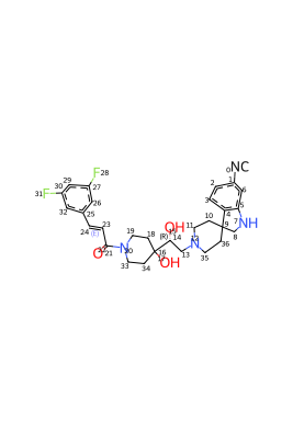 [C-]#[N+]c1ccc2c(c1)NCC21CCN(C[C@@H](O)C2(O)CCN(C(=O)/C=C/c3cc(F)cc(F)c3)CC2)CC1